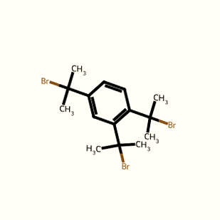 CC(C)(Br)c1ccc(C(C)(C)Br)c(C(C)(C)Br)c1